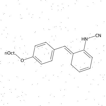 CCCCCCCCOc1ccc(C=C2CC=CC=C2NC#N)cc1